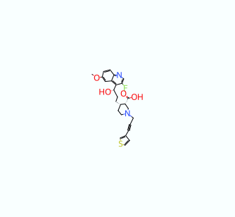 COc1ccc2ncc(F)c([C@@H](O)CC[C@H]3CCN(CC#Cc4ccsc4)C[C@H]3C(=O)O)c2c1